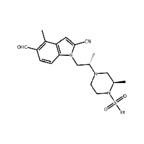 CCS(=O)(=O)N1CCN([C@@H](C)Cn2c(C#N)cc3c(C)c(C=O)ccc32)C[C@H]1C